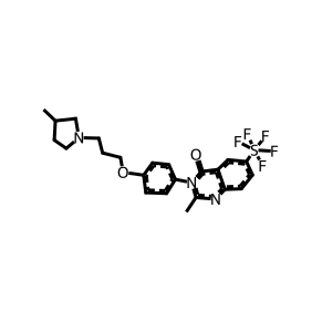 Cc1nc2ccc(S(F)(F)(F)(F)F)cc2c(=O)n1-c1ccc(OCCCN2CCC(C)C2)cc1